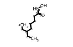 CCC(CC)CCCCC(=O)NO